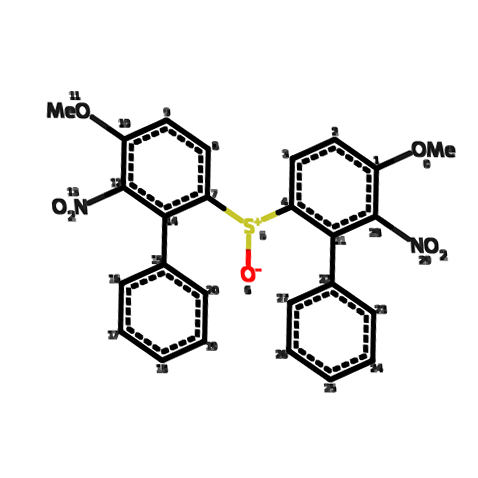 COc1ccc([S+]([O-])c2ccc(OC)c([N+](=O)[O-])c2-c2ccccc2)c(-c2ccccc2)c1[N+](=O)[O-]